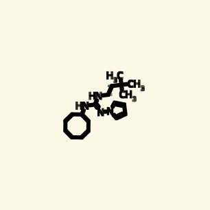 CC(C)(C)[CH][CH]NC(=Nn1cccc1)NC1CCCCCCC1